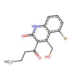 O=C(O)CCC(=O)c1c(CO)c2c(Br)cccc2[nH]c1=O